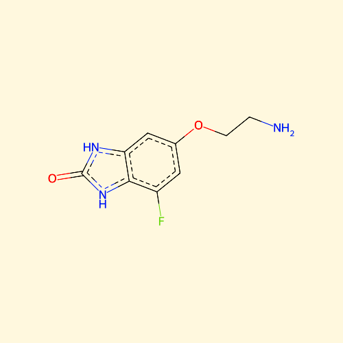 NCCOc1cc(F)c2[nH]c(=O)[nH]c2c1